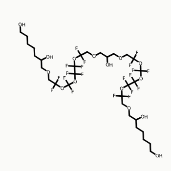 OCCCCCC(O)COCC(F)(F)OC(F)(F)OC(F)(F)C(F)(F)OC(F)(F)COCC(O)COCC(F)(F)OC(F)(F)OC(F)(F)C(F)(F)OC(F)(F)COCC(O)CCCCCO